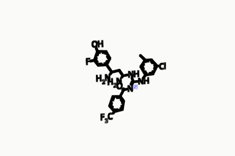 Cc1cc(Cl)cc(N/C(=N/C(=O)c2ccc(C(F)(F)F)cc2)NC(N)CC(N)c2ccc(O)c(F)c2)c1